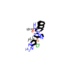 Cc1nc(N2CCC3(Cc4ccccc4C3)C(N[S+]([O-])C(C)(C)C)C2)n2ccnc2c1Sc1ccnc(N)c1Cl